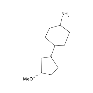 CO[C@H]1CCN(C2CCC(N)CC2)C1